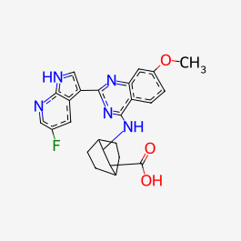 COc1ccc2c(NC3C4CCC(CC4)C3C(=O)O)nc(-c3c[nH]c4ncc(F)cc34)nc2c1